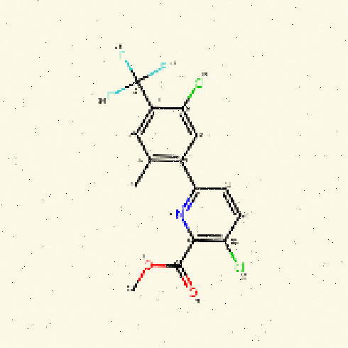 COC(=O)c1nc(-c2cc(Cl)c(C(F)(F)F)cc2C)ccc1Cl